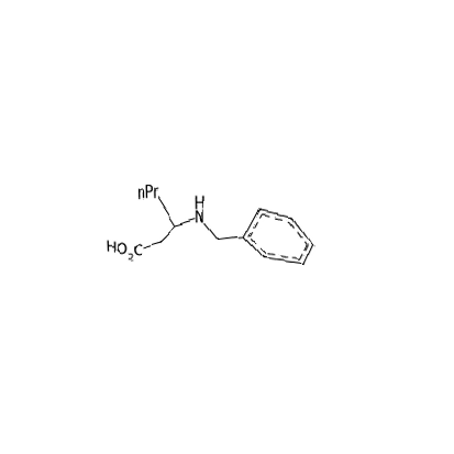 CCCC(CC(=O)O)NCc1ccccc1